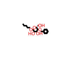 CCCCCOC1O[C@H](CO)[C@@H](OCc2ccccc2)[C@H](O)[C@H]1O